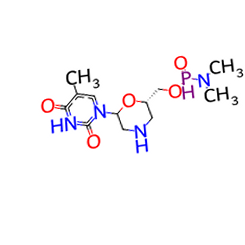 Cc1cn(C2CNC[C@@H](CO[PH](=O)N(C)C)O2)c(=O)[nH]c1=O